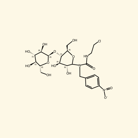 O=C(NCCCl)N(Cc1ccc([N+](=O)[O-])cc1)C1O[C@H](CO)[C@@H](O[C@H]2O[C@H](CO)[C@@H](O)[C@H](O)[C@H]2O)[C@H](O)[C@H]1O